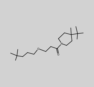 CC(C)(C)CCCOCCC(=O)N1CCC(C)(C(C)(C)C)CC1